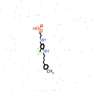 Cc1ccc(CCCCCNc2ccc(CNCCCO[PH](=O)O)cc2C(F)(F)F)cc1